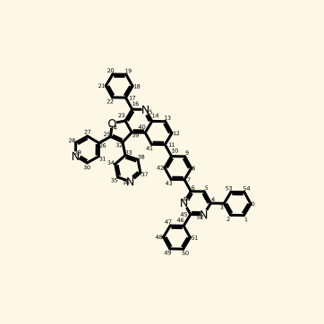 c1ccc(-c2cc(-c3ccc(-c4ccc5nc(-c6ccccc6)c6oc(-c7ccncc7)c(-c7ccncc7)c6c5c4)cc3)nc(-c3ccccc3)n2)cc1